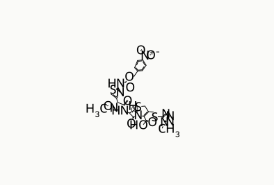 CON=C(C(=O)NC1C(=O)N2C(C(=O)O)=C(CSc3nnnn3C)CS[C@@H]12)c1csc(NC(=O)OCc2ccc([N+](=O)[O-])cc2)n1